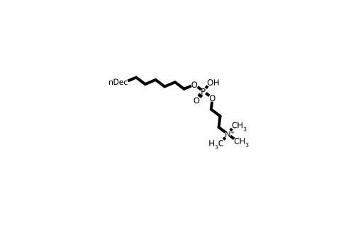 CCCCCCCCCCCCCCCCOP(=O)(O)OCCC[N+](C)(C)C